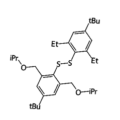 CCc1cc(C(C)(C)C)cc(CC)c1SSc1c(COC(C)C)cc(C(C)(C)C)cc1COC(C)C